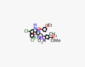 CCOc1cccc(CN2[C@@H](CC(=O)c3cc(C)c(C(=O)OC)cc3[N+](=O)[O-])[C@@H](N)[C@H](c3cccc(Cl)c3F)[C@]23C(=O)Nc2cc(Cl)ccc23)c1